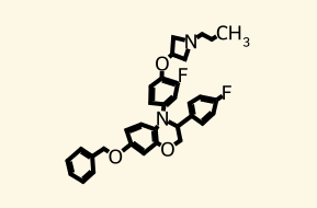 CCCN1CC(Oc2ccc(N3c4ccc(OCc5ccccc5)cc4OCC3c3ccc(F)cc3)cc2F)C1